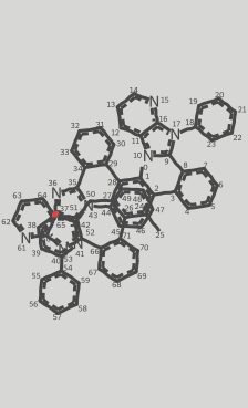 Cc1c(-c2ccccc2-c2nc3cccnc3n2-c2ccccc2)c(C)c2c(c1-c1ccccc1-c1nc3cccnc3n1-c1ccccc1)Cc1c(n(-c3ccccc3)c3ncccc13)-c1ccccc1-2